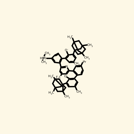 Cc1cc(-c2ccc(C(C)C)cc2-c2cc(C(F)(F)F)cc(-c3cc(C(C)C)ccc3-c3cc(C)cc(C45CC6(C)CC(C)(CC(C)(C6)C4)C5)c3[O-])n2)c([O-])c(C23CC4(C)CC(C)(CC(C)(C4)C2)C3)c1.[CH3][Hf+2][CH3]